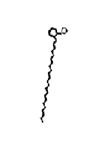 CCCCCCCCCCCCCCCCCCCCCCCc1ccccc1C[O]